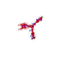 N#CC1CC(F)(F)CN1C(=O)CNC(=O)c1ccnc2c(OCCCNC(=O)CCSc3nnc(SCCC(=O)NCCCOc4cccc5c(C(=O)NCC(=O)N6CC(F)(F)CC6C#N)ccnc45)c4c3CCCC(OC(=O)NCCCNC(=O)CCC(C(=O)O)N3CCN(CC(=O)O)CCN(CC(=O)O)CCN(CC(=O)O)CC3)CC4)cccc12